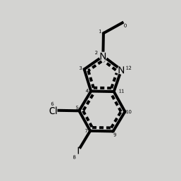 CCn1cc2c(Cl)c(I)ccc2n1